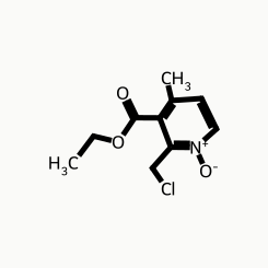 CCOC(=O)c1c(C)cc[n+]([O-])c1CCl